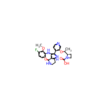 COc1c(F)cccc1Nc1c(-c2ccncc2O[C@@H](C)[C@H]2CCN2C(=O)O)[nH]c2c1C(=O)NCC2